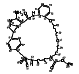 CN1C2=C(N)N=CC1c1ccc(cc1)S(=O)(=O)NCCN(C(=O)OC(C)(C)C)CCOCCOc1ccccc1NC2=O